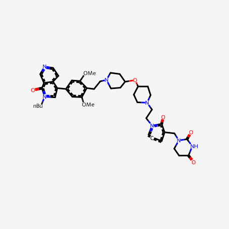 CCCCn1cc(-c2cc(OC)c(CCN3CCC(OC4CCN(CCn5cccc(CN6CCC(=O)NC6=O)c5=O)CC4)CC3)c(OC)c2)c2ccncc2c1=O